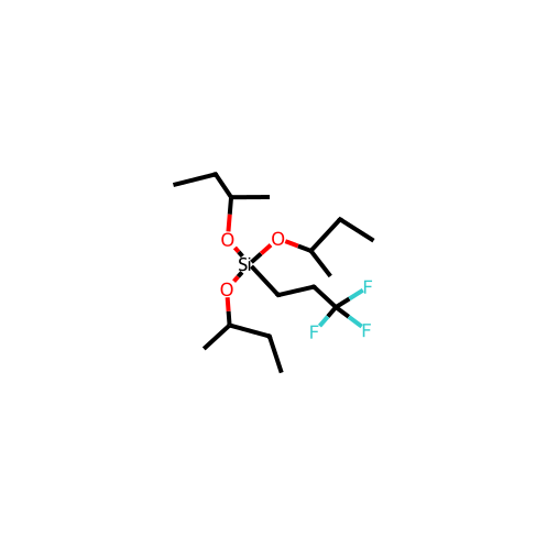 CCC(C)O[Si](CCC(F)(F)F)(OC(C)CC)OC(C)CC